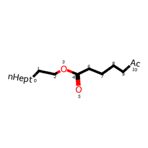 CCCCCCCCCOC(=O)CCCCC(C)=O